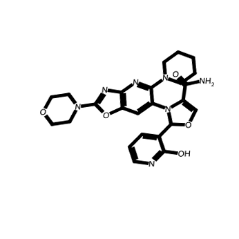 NC(=O)C1=COC(c2cccnc2O)N1c1cc2oc(N3CCOCC3)nc2nc1N1CCCCC1